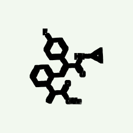 C=C(C(=O)OC)c1ccccc1C=C(C(=O)NC1CC1)c1ccc(F)cc1